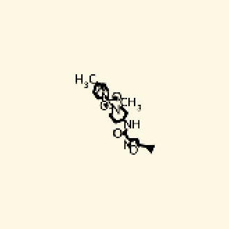 C[C@H]1C[C@@H](NC(=O)c2cc(C3CC3)on2)CCN1S(=O)(=O)N1CC2CCC1CN2C